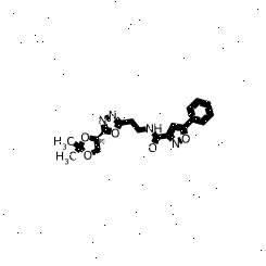 CC1(C)OC[C@H](c2nnc(CCNC(=O)c3cc(-c4ccccc4)on3)o2)O1